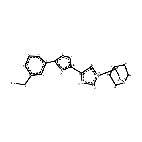 FCc1cccc(-c2ccc(-c3cn(C4CN5CCC4CC5)nn3)s2)c1